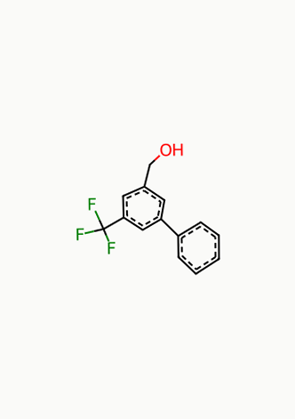 OCc1cc(-c2ccccc2)cc(C(F)(F)F)c1